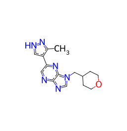 Cc1n[nH]cc1-c1cnc2ncn(CC3CCOCC3)c2n1